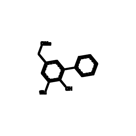 COCc1cc(-c2ccccc2)c(O)c(C(C)(C)C)c1